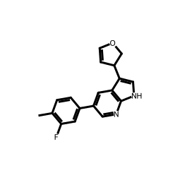 Cc1ccc(-c2cnc3[nH]cc(C4C=COC4)c3c2)cc1F